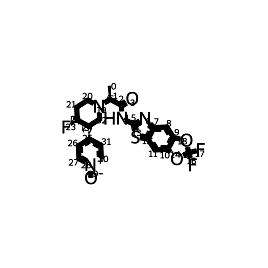 C[C@@H](C(=O)Nc1nc2cc3c(cc2s1)OC(F)(F)O3)N1CC[C@H](F)[C@@H](c2cc[n+]([O-])cc2)C1